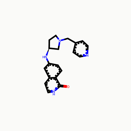 O=c1[nH]ccc2cc(N[C@H]3CCN(Cc4ccncc4)C3)ccc12